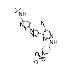 Cc1nc(CNC(C)(C)C)ccc1-n1cc(-c2nc(NC3CCN(S(=O)(=O)C4CC4)CC3)ncc2C#N)cn1